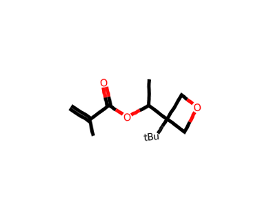 C=C(C)C(=O)OC(C)C1(C(C)(C)C)COC1